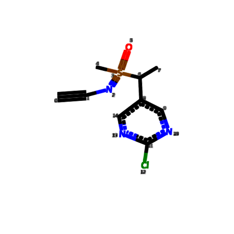 C#CN=S(C)(=O)C(C)c1cnc(Cl)nc1